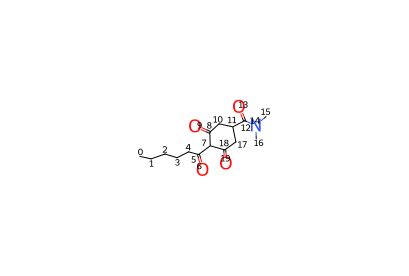 CCCCCC(=O)C1C(=O)CC(C(=O)N(C)C)CC1=O